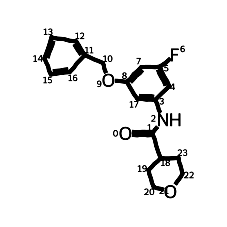 O=C(Nc1cc(F)cc(OCc2ccccc2)c1)C1CCOCC1